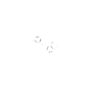 Cc1cccc(COc2cccc3c2C(=O)SCC3)c1